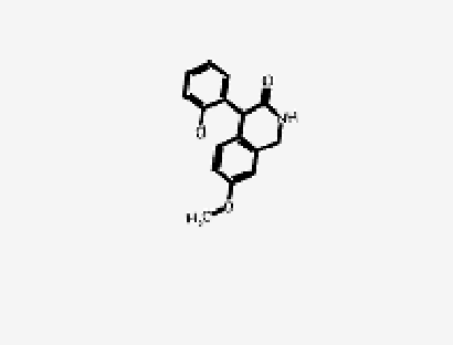 COc1ccc2c(c1)CNC(=O)C2c1ccccc1Cl